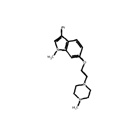 CC(C)c1cn(C)c2cc(OCCN3CCN(C)CC3)ccc12